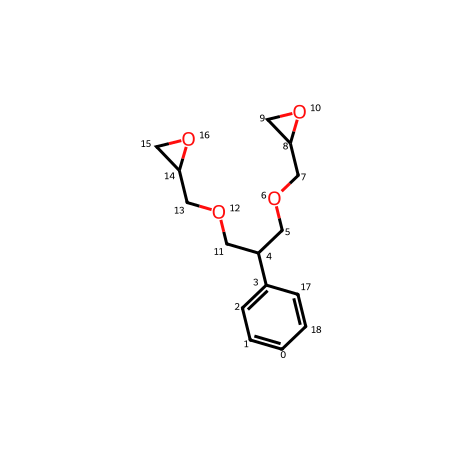 c1ccc(C(COCC2CO2)COCC2CO2)cc1